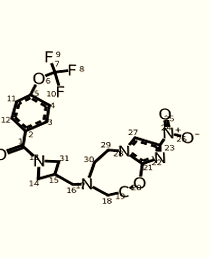 O=C(c1ccc(OC(F)(F)F)cc1)N1CC(CN2CCOc3nc([N+](=O)[O-])cn3CC2)C1